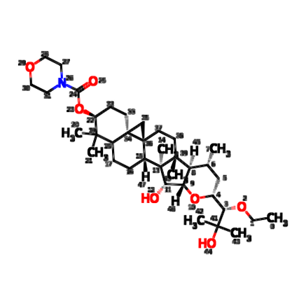 CCO[C@@H]([C@H]1C[C@@H](C)[C@H]2[C@H](O1)[C@H](O)[C@@]1(C)[C@@H]3CCC4C(C)(C)[C@@H](OC(=O)N5CCOCC5)CC[C@@]45C[C@@]35CC[C@]21C)C(C)(C)O